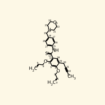 C=CCOc1cc(OCC=C)c(C(=S)Nc2ccc(CN3CCOCC3)cc2)cc1CC#CC